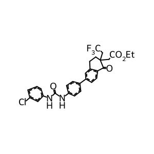 CCOC(=O)CC1(CC(F)(F)F)CCc2cc(-c3ccc(NC(=O)Nc4cccc(Cl)c4)cc3)ccc2C1=O